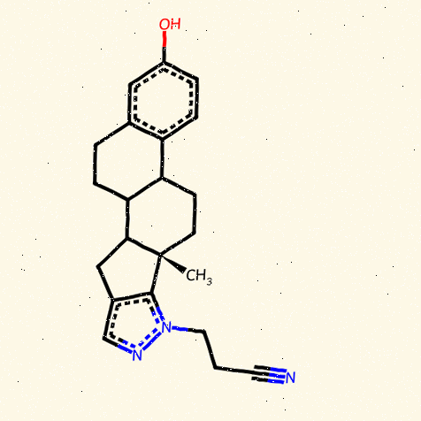 C[C@]12CCC3c4ccc(O)cc4CCC3C1Cc1cnn(CCC#N)c12